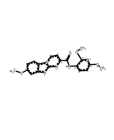 COc1ccc2c(c1)nc1nc(C(=O)Nc3ccc(OC)nc3OC)ccn12